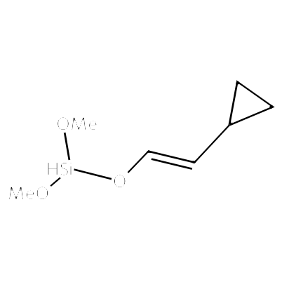 CO[SiH](OC)OC=CC1CC1